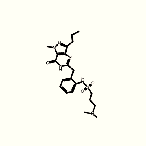 CCCc1nn(C)c2c(=O)[nH]c(Cc3ccccc3NS(=O)(=O)CCCN(C)C)nc12